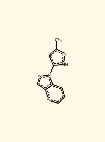 FC(F)(F)c1cc(-n2ncc3ncccc32)[nH]n1